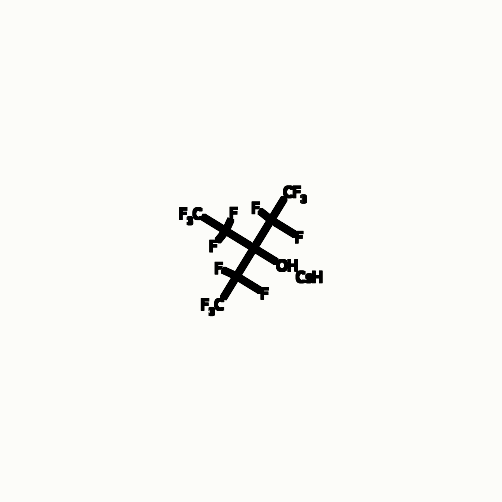 OC(C(F)(F)C(F)(F)F)(C(F)(F)C(F)(F)F)C(F)(F)C(F)(F)F.[CsH]